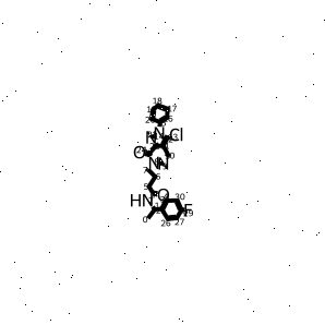 CC(NC(=O)CCCn1ncc2c(Cl)n(-c3ccccc3)nc2c1=O)c1ccc(F)cc1